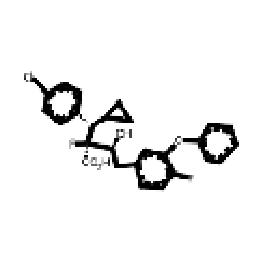 O=C(O)[C@](F)([C@H](c1ccc(Cl)cc1)C1CC1)[C@@H](O)Cc1ccc(F)c(Oc2ccccc2)c1